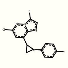 Fc1ccc([C@H]2CC2c2cc(Cl)nn3c(F)cnc23)cc1